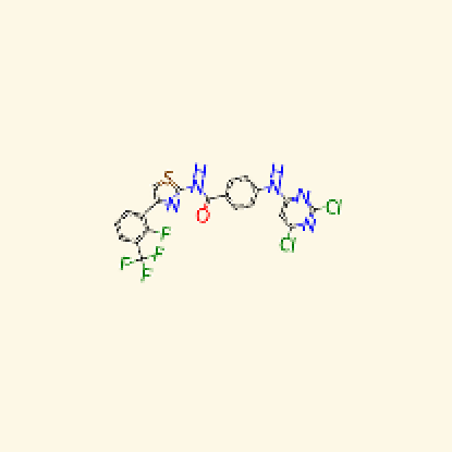 O=C(Nc1nc(-c2cccc(C(F)(F)F)c2F)cs1)c1ccc(Nc2cc(Cl)nc(Cl)n2)cc1